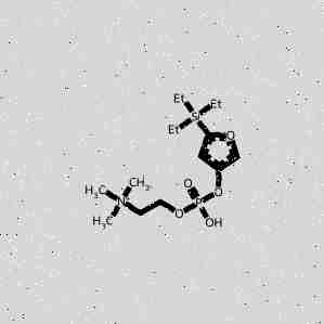 CC[Si](CC)(CC)c1cc(OP(=O)(O)OCC[N+](C)(C)C)co1